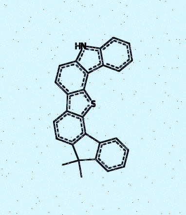 CC1(C)c2ccccc2-c2c1ccc1c2sc2c1ccc1[nH]c3ccccc3c12